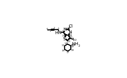 CC#CCNc1nc(Cl)nc2c(I)c([C@H]3CCCC[C@@H]3N)sc12